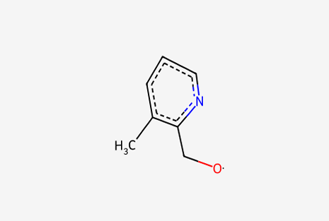 Cc1cccnc1C[O]